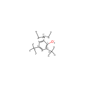 CC(C)(C)c1ccc([O-])c(C(C)(C)C)c1.C[CH2][Al+][CH2]C